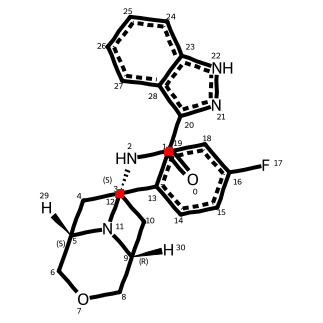 O=C(N[C@H]1C[C@H]2COC[C@@H](C1)N2Cc1ccc(F)cc1)c1n[nH]c2ccccc12